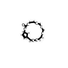 O=C1CCCCCCCCCCCCCC2C=CC(C1)C2